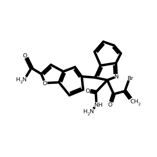 C=C(Br)C(=O)C1(C(=O)NN)N=c2ccccc2=C1c1ccc2oc(C(N)=O)cc2c1